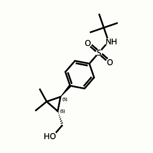 CC(C)(C)NS(=O)(=O)c1ccc([C@H]2[C@H](CO)C2(C)C)cc1